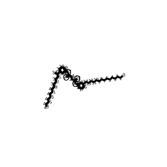 CCCCCCCCCCCCCCCc1cccc(OC(=O)CCC(=O)Oc2cccc(C(C)CCCCCCCCCCCCC)c2)c1